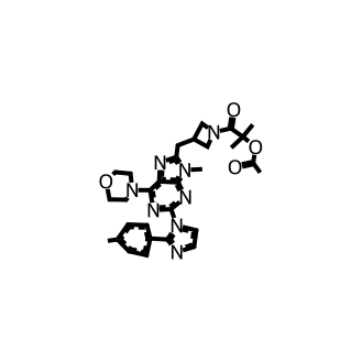 CC(=O)OC(C)(C)C(=O)N1CC(Cc2nc3c(N4CCOCC4)nc(-n4ccnc4-c4ccc(C)cc4)nc3n2C)C1